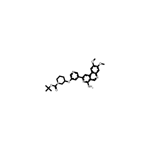 COc1cc2ncc3c(N)nc(-c4cncc(OC5CCCN(C(=O)OC(C)(C)C)C5)c4)cc3c2cc1OC